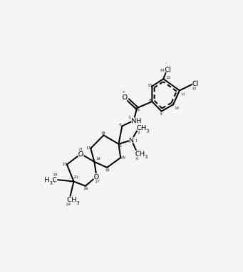 CN(C)C1(CNC(=O)c2ccc(Cl)c(Cl)c2)CCC2(CC1)OCC(C)(C)CO2